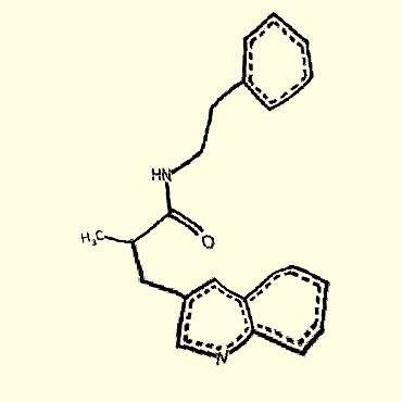 C[C](Cc1cnc2ccccc2c1)C(=O)NCCc1ccccc1